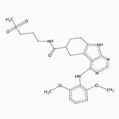 COc1cccc(OC)c1Nc1ncnc2[nH]c3c(c12)CC(C(=O)NCCCS(C)(=O)=O)CC3